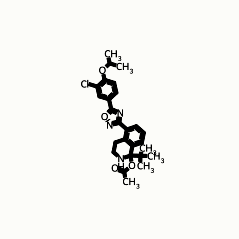 CC(=O)OC1(C(C)(C)C)NCCc2c(-c3noc(-c4ccc(OC(C)C)c(Cl)c4)n3)cccc21